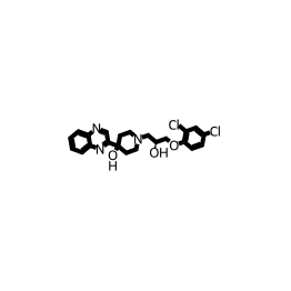 O[C@@H](COc1ccc(Cl)cc1Cl)CN1CCC(O)(c2cnc3ccccc3n2)CC1